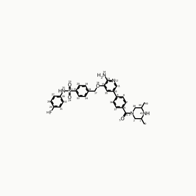 CC1CN(C(=O)c2ccc(-c3cnc(N)c(OCc4ccc(S(=O)(=O)Nc5ccc(F)cc5)cc4)c3)cc2)CC(C)N1